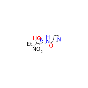 CCC(C(C)=CC(CNC(=O)c1cccnc1)=NO)[N+](=O)[O-]